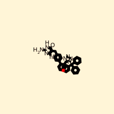 CCCCc1nc(N)[nH]c(=O)c1Cc1ccc(-c2ccccc2-c2nnnn2C(c2ccccc2)(c2ccccc2)c2ccccc2)cc1